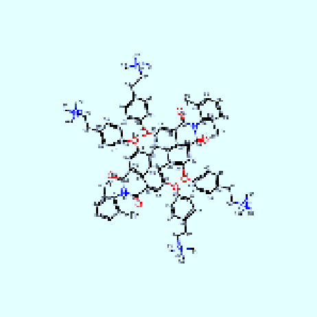 CC(C)c1cccc(C(C)C)c1N1C(=O)c2cc(Oc3ccc(CC[N+](C)(C)C)cc3)c3c4c(Oc5ccc(CC[N+](C)(C)C)cc5)cc5c6c(cc(Oc7ccc(CC[N+](C)(C)C)cc7)c(c7c(Oc8ccc(CC[N+](C)(C)C)cc8)cc(c2c37)C1=O)c64)C(=O)N(c1c(C(C)C)cccc1C(C)C)C5=O